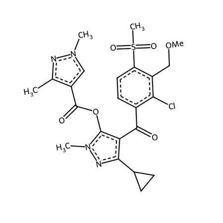 COCc1c(S(C)(=O)=O)ccc(C(=O)c2c(C3CC3)nn(C)c2OC(=O)c2cn(C)nc2C)c1Cl